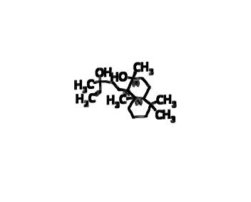 C=CC(C)(O)CC[C@@H]1[C@@]2(C)CCCC(C)(C)C2CC[C@@]1(C)O